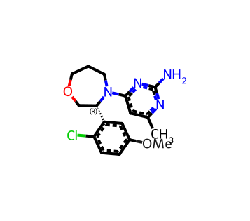 COc1ccc(Cl)c([C@@H]2COCCCN2c2cc(C)nc(N)n2)c1